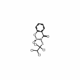 O=C1c2ccccc2OS(=O)N1SC(Cl)(Cl)C(Cl)Cl